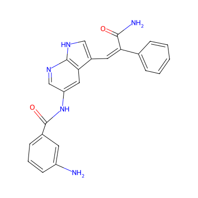 NC(=O)C(=Cc1c[nH]c2ncc(NC(=O)c3cccc(N)c3)cc12)c1ccccc1